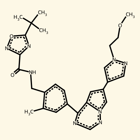 COCCn1cc(-c2cc3c(-c4ccc(CNC(=O)c5noc(C(C)(C)C)n5)c(C)c4)ncnn3c2)cn1